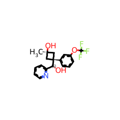 C[C@]1(O)C[C@](c2cccc(OC(F)(F)F)c2)([C@H](O)c2ccccn2)C1